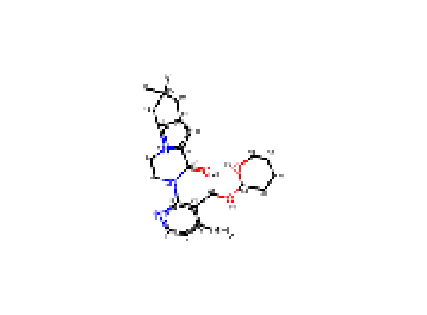 Bc1ccnc(N2CCn3c(cc4c3CC(C)(C)C4)C2=O)c1COC1CCCCO1